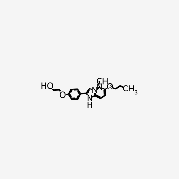 CCCOC1=CC=C2NC(c3ccc(OCCO)cc3)=CN2N1C